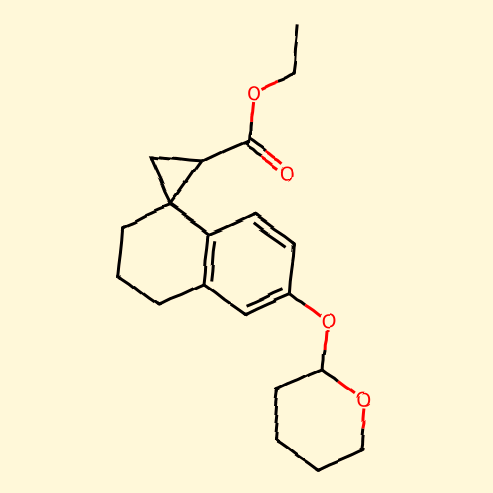 CCOC(=O)C1CC12CCCc1cc(OC3CCCCO3)ccc12